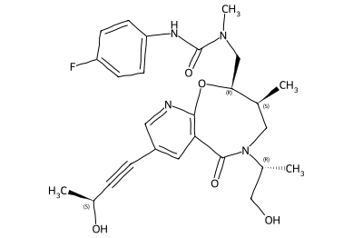 C[C@H](O)C#Cc1cnc2c(c1)C(=O)N([C@H](C)CO)C[C@H](C)[C@H](CN(C)C(=O)Nc1ccc(F)cc1)O2